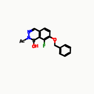 CC(=O)N1N=Cc2ccc(OCc3ccccc3)c(F)c2B1O